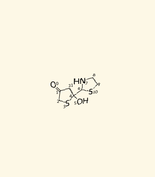 O=C1CSC(O)(C2NCCS2)C1